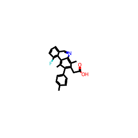 Cc1ccc(-c2c(CC(=O)O)c(C)c3ncc4cccc(F)c4c3c2C)cc1